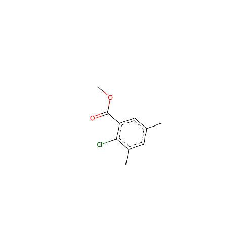 COC(=O)c1cc(C)cc(C)c1Cl